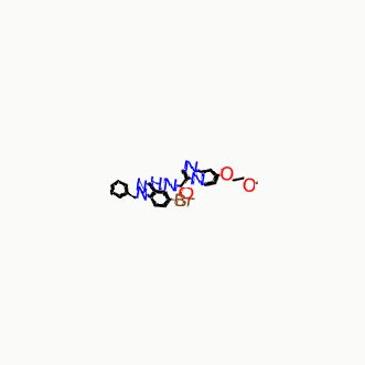 COCCOc1ccn2c(C(=O)Nc3c(Br)ccc4c3cnn4Cc3ccccc3)cnc2c1